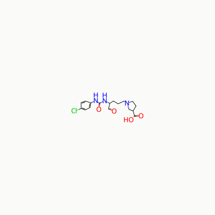 O=CC(CCCN1CCC(C(=O)O)C1)NC(=O)Nc1ccc(Cl)cc1